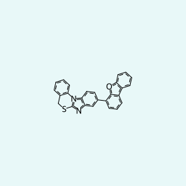 c1ccc2c(c1)CSc1nc3cc(-c4cccc5c4oc4ccccc45)ccc3n1-2